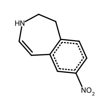 O=[N+]([O-])c1ccc2c(c1)C=CNCC2